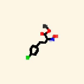 CC(C)OC(=O)/C(CCc1ccc(Cl)cc1)=N\O